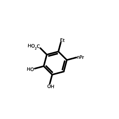 CCCc1cc(O)c(O)c(C(=O)O)c1CC